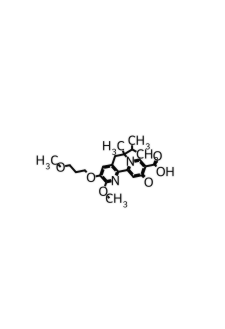 COCCCOc1cc2c(nc1OC)-c1cc(=O)c(C(=O)O)cn1C(C)(C(C)C)C2